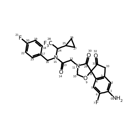 Nc1cc2c(cc1F)C1(OCN(CC(=O)N(Cc3ccc(F)cc3)C(C3CC3)C(F)(F)F)C1=O)C(=O)C2